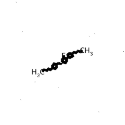 CCCCCc1ccc(CCc2ccc(-c3ccc(CCCCC)cc3)c(F)c2)cc1